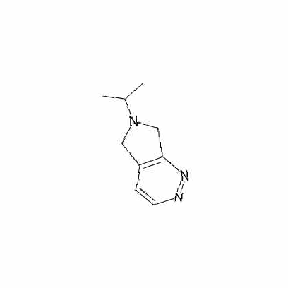 CC(C)N1Cc2ccnnc2C1